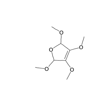 COC1=C(OC)C(OC)OC1OC